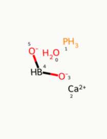 O.P.[Ca+2].[O-]B[O-]